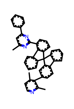 Cc1cc(-c2ccccc2)nc(-c2cccc3c2-c2ccccc2C32c3ccccc3-c3ccc(-c4c(C)ccnc4C)cc32)n1